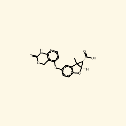 CC12c3cc(Oc4ccnc5c4COC(=O)N5)ccc3O[C@@H]1[C@H]2C(=O)O